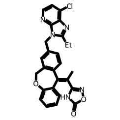 CCc1nc2c(Cl)ccnc2n1Cc1ccc2c(c1)COc1ccccc1/C2=C(/C)c1noc(=O)[nH]1